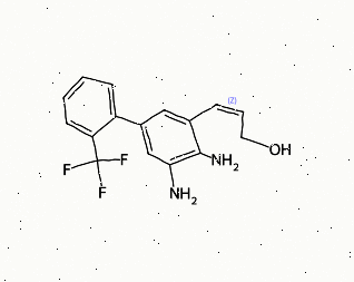 Nc1cc(-c2ccccc2C(F)(F)F)cc(/C=C\CO)c1N